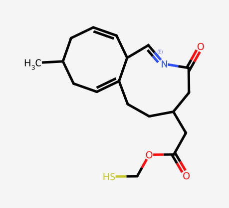 CC1CC=CC2/C=N/C(=O)CC(CC(=O)OCS)CCC2=CC1